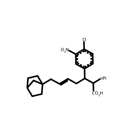 CCCC(C(=O)O)C(CC=CCC12CCC(CC1)C2)c1ccc(Cl)c([N+](=O)[O-])c1